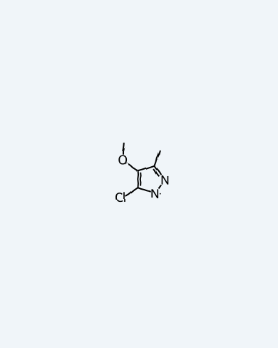 COC1=C(Cl)[N]N=C1C